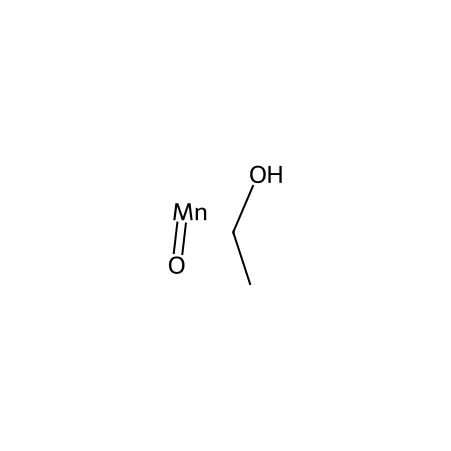 CCO.[O]=[Mn]